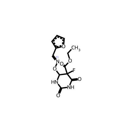 CCOC(=O)C1(F)C(=O)NC(=O)NC1O/N=C/c1ccco1